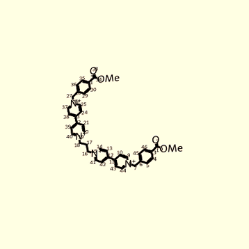 COC(=O)c1ccc(C[n+]2ccc(-c3cc[n+](CCC[n+]4ccc(-c5cc[n+](Cc6ccc(C(=O)OC)cc6)cc5)cc4)cc3)cc2)cc1